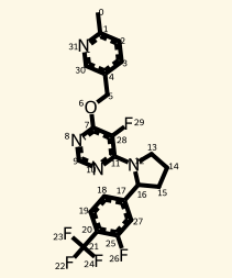 Cc1ccc(COc2ncnc(N3CCCC3c3ccc(C(F)(F)F)c(F)c3)c2F)cn1